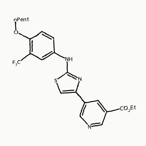 CCCCCOc1ccc(Nc2nc(-c3cncc(C(=O)OCC)c3)cs2)cc1C(F)(F)F